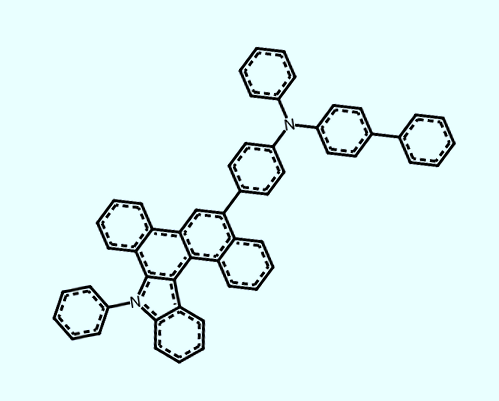 c1ccc(-c2ccc(N(c3ccccc3)c3ccc(-c4cc5c6ccccc6c6c(c7ccccc7n6-c6ccccc6)c5c5ccccc45)cc3)cc2)cc1